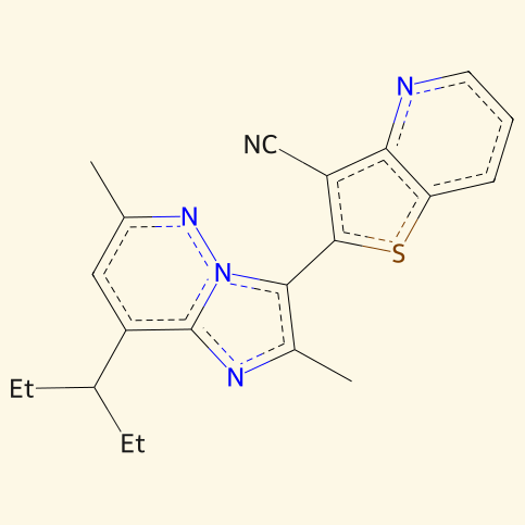 CCC(CC)c1cc(C)nn2c(-c3sc4cccnc4c3C#N)c(C)nc12